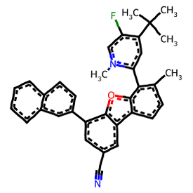 Cc1ccc2c(oc3c(-c4ccc5ccccc5c4)cc(C#N)cc32)c1-c1cc(C(C)(C)C)c(F)c[n+]1C